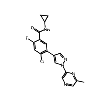 Cc1cncc(-n2cc(-c3cc(C(=O)NC4CC4)c(F)cc3Cl)cn2)n1